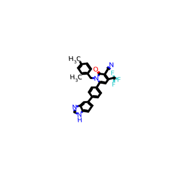 Cc1ccc(Cn2c(-c3ccc(-c4ccc5[nH]cnc5c4)cc3)cc(C(F)(F)F)c(C#N)c2=O)c(C)c1